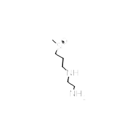 C[Si](=O)CCCNCCN